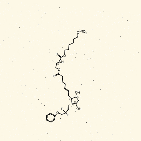 C[C@@H](COC(=O)CCCC=CC[C@@H]1[C@@H](C=CC(F)(F)COc2ccccc2)[C@H](O)C[C@@H]1O)NC(=O)OCCCCCCO[N+](=O)[O-]